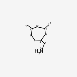 CC1CCC(CN)CC(I)C1